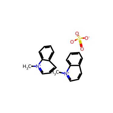 C[n+]1cccc2ccccc21.C[n+]1cccc2ccccc21.O=S(=O)([O-])[O-]